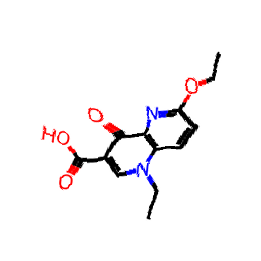 CCOc1ccc2c(n1)c(=O)c(C(=O)O)cn2CC